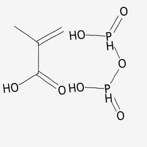 C=C(C)C(=O)O.O=[PH](O)O[PH](=O)O